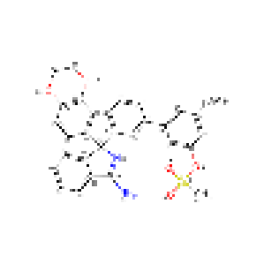 COc1cc(OS(C)(=O)=O)cc(-c2cccc(C3(c4ccc5c(c4)OCCO5)N=C(N)c4ccccc43)c2)c1